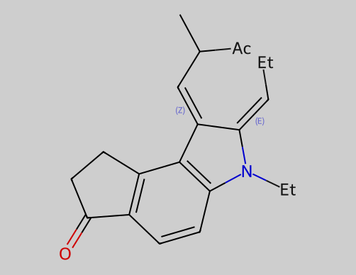 CC/C=c1\c(=C/C(C)C(C)=O)c2c3c(ccc2n1CC)C(=O)CC3